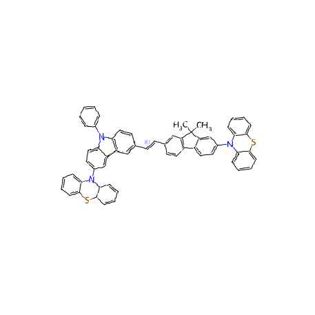 CC1(C)c2cc(/C=C/c3ccc4c(c3)c3cc(N5c6ccccc6SC6C=CC=CC65)ccc3n4-c3ccccc3)ccc2-c2ccc(N3c4ccccc4Sc4ccccc43)cc21